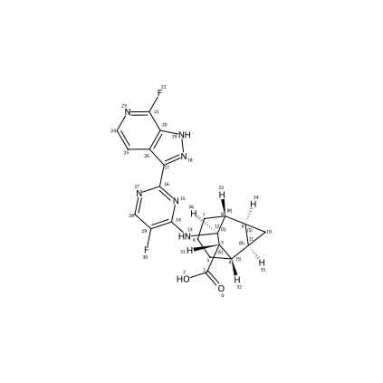 O=C(O)[C@H]1[C@H]2CCC[C@H]([C@H]3C[C@H]32)[C@@H]1Nc1nc(-c2n[nH]c3c(F)nccc23)ncc1F